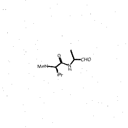 CNC(C(=O)NC(C)C=O)C(C)C